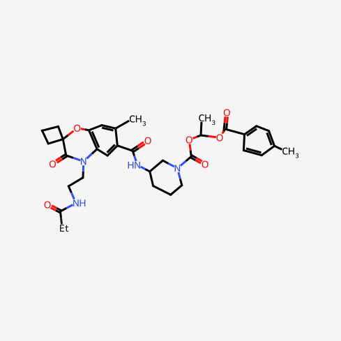 CCC(=O)NCCN1C(=O)C2(CCC2)Oc2cc(C)c(C(=O)NC3CCCN(C(=O)OC(C)OC(=O)c4ccc(C)cc4)C3)cc21